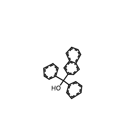 OC(c1ccccc1)(c1ccccc1)c1ccc2ccccc2c1